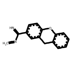 C=NC(=N)c1ccc2c(c1)Cc1ccccc1O2